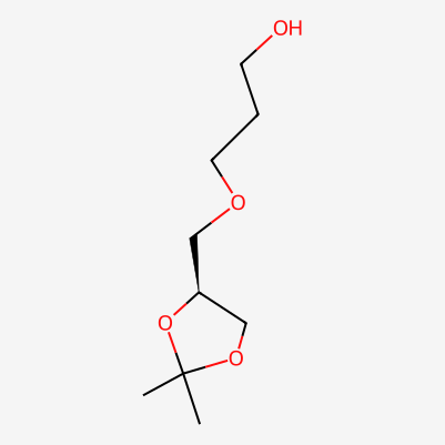 CC1(C)OC[C@H](COCCCO)O1